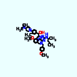 CCCC(C)Nc1nc(N(Cc2ccc(OC)cc2)Cc2ccc(OC)cc2)c2ncc(C(O)c3ccc(N4CCC(N(C)C)CC4)c(C)c3)n2n1